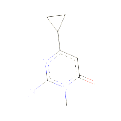 Cn1c(N)nc(C2CC2)cc1=O